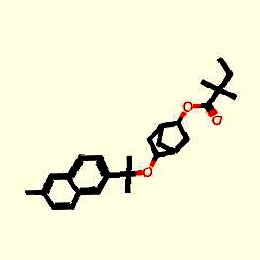 CCC(C)(C)C(=O)OC1CC2CC1CC2OC(C)(C)c1ccc2cc(C)ccc2c1